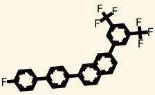 Fc1ccc(-c2ccc(-c3ccc4ccc(-c5cc(C(F)(F)F)cc(C(F)(F)F)c5)cc4c3)cc2)cc1